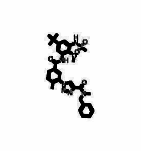 COc1c(NC(=O)c2ccc(C)c(-n3cc(C(=O)N(C)Cc4ccccc4)nn3)c2)cc(C(C)(C)C)cc1NS(C)(=O)=O